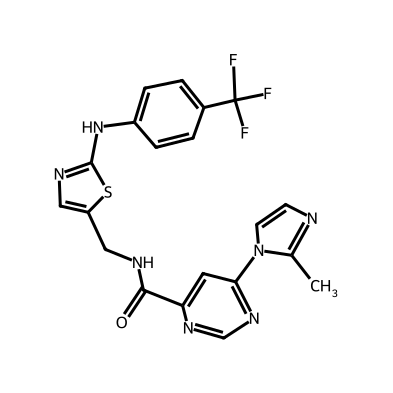 Cc1nccn1-c1cc(C(=O)NCc2cnc(Nc3ccc(C(F)(F)F)cc3)s2)ncn1